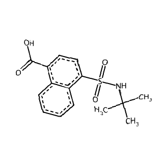 CC(C)(C)NS(=O)(=O)c1ccc(C(=O)O)c2ccccc12